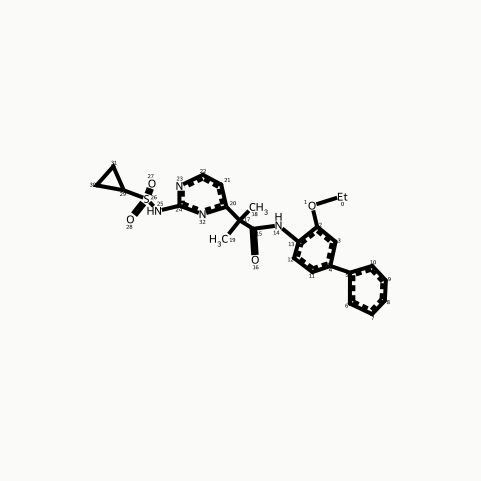 CCOc1cc(-c2ccccc2)ccc1NC(=O)C(C)(C)c1ccnc(NS(=O)(=O)C2CC2)n1